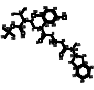 CC(C)N(CCN(C(=O)CNCC(=O)N(C)N1Cc2ccccc2C1)c1cc(Cl)ccc1Cl)C(=O)OC(C)(C)C